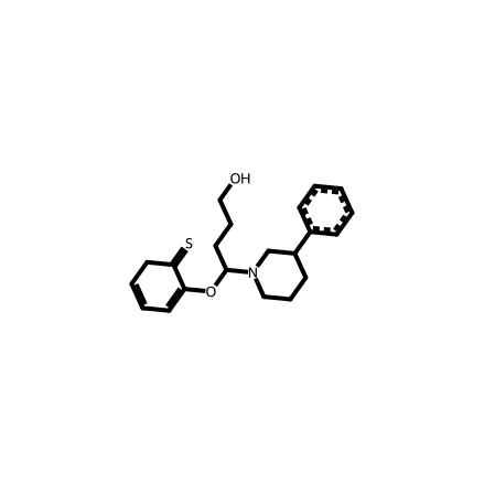 OCCCC(OC1=CC=CCC1=S)N1CCCC(c2ccccc2)C1